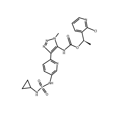 C[C@@H](OC(=O)Nc1c(-c2ccc(NS(=O)(=O)NC3CC3)cn2)nnn1C)c1cccnc1Cl